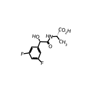 C[C@H](NC(=O)[C@H](O)c1cc(F)cc(F)c1)C(=O)O